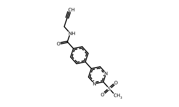 C#CCNC(=O)c1ccc(-c2cnc(S(C)(=O)=O)nc2)cc1